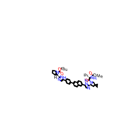 COC(=O)N[C@H](C(=O)N1CC2(CC2)C[C@H]1c1ncc(-c2ccc3cc(-c4ccc(-c5cnc([C@@H]6[C@H]7CCC(C7)N6C(=O)OC(C)(C)C)[nH]5)cc4)ccc3c2)[nH]1)C(C)C